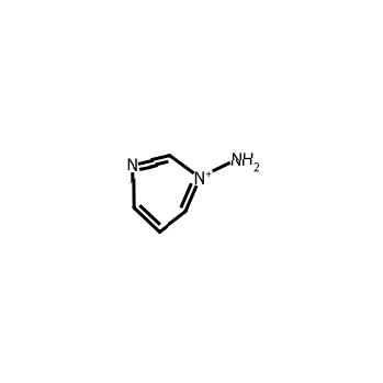 N[n+]1cccnc1